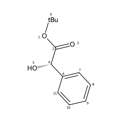 CC(C)(C)OC(=O)[C@@H](O)c1ccccc1